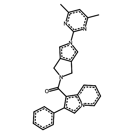 Cc1cc(C)nc(-n2cc3c(c2)CN(C(=O)c2c(-c4ccccc4)cn4ccccc24)C3)n1